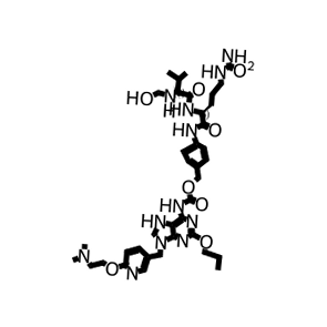 CCCOc1nc(NC(=O)OCc2ccc(NC(=O)[C@H](CCCNC(N)=O)NC(=O)[C@@H](NCO)C(C)C)cc2)c2c(n1)N(Cc1ccc(OCCN(C)C)nc1)CN2